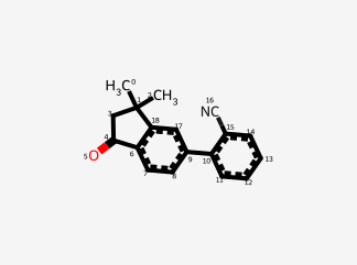 CC1(C)CC(=O)c2ccc(-c3ccccc3C#N)cc21